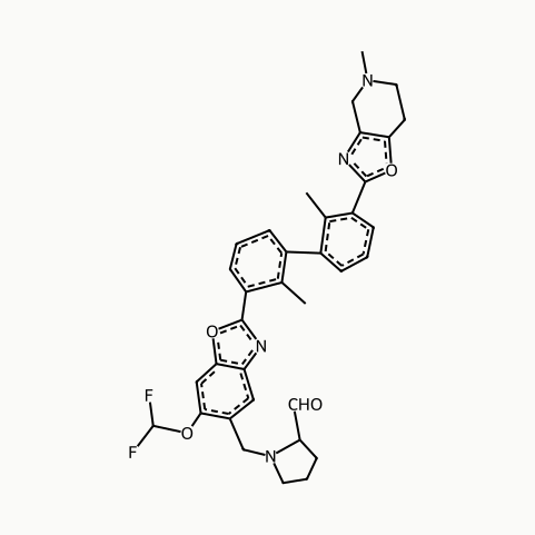 Cc1c(-c2nc3c(o2)CCN(C)C3)cccc1-c1cccc(-c2nc3cc(CN4CCCC4C=O)c(OC(F)F)cc3o2)c1C